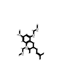 C=C(C)C(CC=C(C)C)Cc1c(OCOC)cc(OC)cc1OCOC